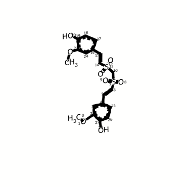 COc1cc(C=CS(=O)(=O)CS(=O)(=O)/C=C/c2ccc(O)c(OC)c2)ccc1O